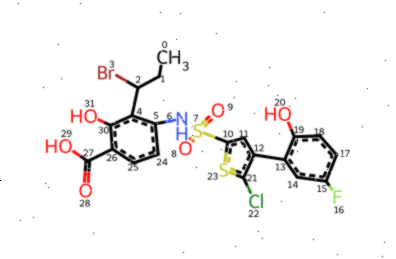 CCC(Br)c1c(NS(=O)(=O)c2cc(-c3cc(F)ccc3O)c(Cl)s2)ccc(C(=O)O)c1O